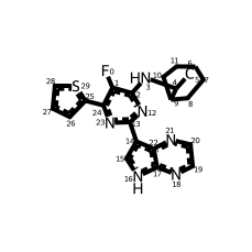 Fc1c(NC2CC3CCC2CC3)nc(-c2c[nH]c3nccnc23)nc1-c1cccs1